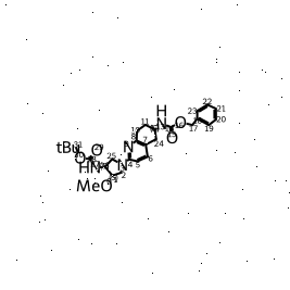 CO[C@H]1CN(c2ccc3c(n2)CC[C@H](NC(=O)OCc2ccccc2)C3)C[C@@H]1NC(=O)OC(C)(C)C